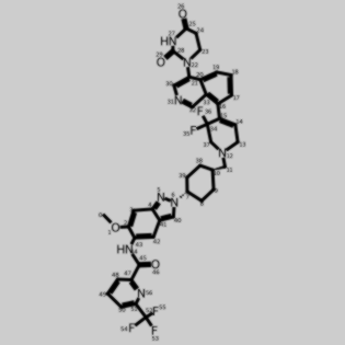 COc1cc2nn([C@H]3CC[C@H](CN4CC=C(c5cccc6c(N7CCC(=O)NC7=O)cncc56)C(F)(F)C4)CC3)cc2cc1NC(=O)c1cccc(C(F)(F)F)n1